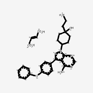 NCCC1(O)CCC(n2nc(-c3ccc(Oc4ccccc4)cc3)c3c(N)ncnc32)CC1.O=C(O)C=CC(=O)O